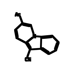 CC(=O)c1ccc2c(C#N)c3ccccc3n2c1